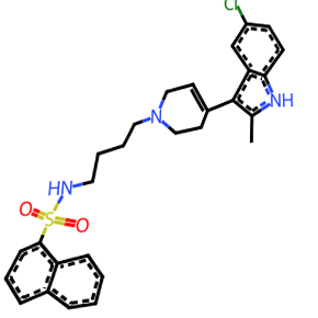 Cc1[nH]c2ccc(Cl)cc2c1C1=CCN(CCCCNS(=O)(=O)c2cccc3ccccc23)CC1